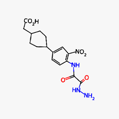 NNC(=O)C(=O)Nc1ccc(C2CCC(CC(=O)O)CC2)cc1[N+](=O)[O-]